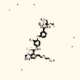 C=C(Nc1ccc(Oc2cccc(C(=O)NC(C)(C)CC)c2)c(Cl)c1)c1c(/N=C\N)ccn1CCOCCO